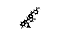 NC1CCCN(C(=O)c2cc3c4c(c2)nc(-c2cc5cc(F)c(F)cc5n2CC2CC2)n4CCN3)C1